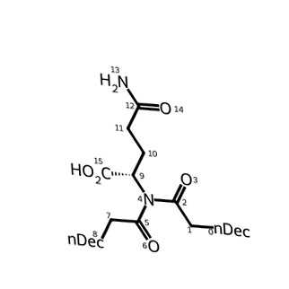 CCCCCCCCCCCC(=O)N(C(=O)CCCCCCCCCCC)[C@@H](CCC(N)=O)C(=O)O